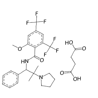 COc1cc(C(F)(F)F)cc(C(F)(F)F)c1C(=O)NC(c1ccccc1)C(C)(C)N1CCCC1.O=C(O)CCC(=O)O